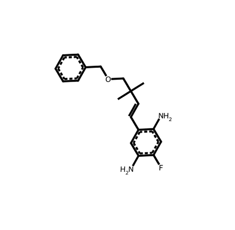 CC(C)(/C=C/c1cc(N)c(F)cc1N)COCc1ccccc1